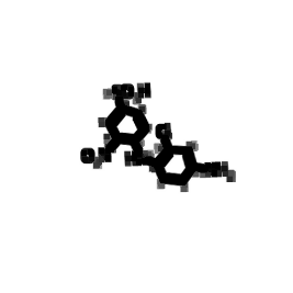 Nc1ccc(Nc2ccc(S(=O)(=O)O)cc2[N+](=O)[O-])c(Cl)c1